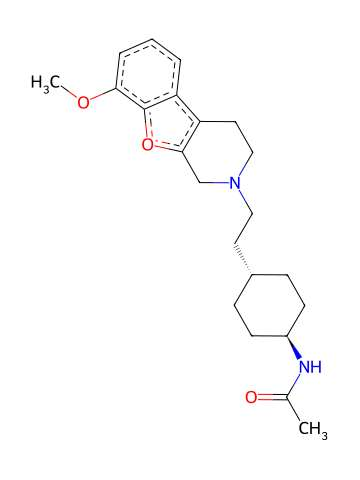 COc1cccc2c3c(oc12)CN(CC[C@H]1CC[C@H](NC(C)=O)CC1)CC3